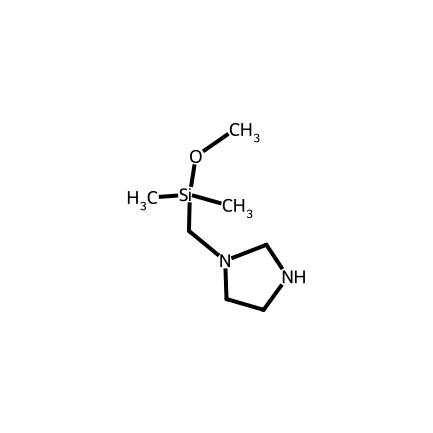 CO[Si](C)(C)CN1CCNC1